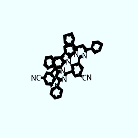 N#Cc1cc(C#N)cc(-c2ccc3c4ccccc4n(-c4c(-c5nc(-c6ccccc6)cc(-c6ccccc6)n5)cc(C#N)cc4-c4nc(-c5ccccc5)cc(-c5ccccc5)n4)c3c2)c1